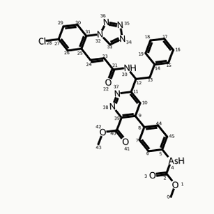 COC(=O)[AsH]c1ccc(-c2cc(C(Cc3ccccc3)NC(=O)C=Cc3cc(Cl)ccc3-n3cnnn3)nnc2C(=O)OC)cc1